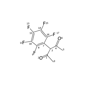 CC(=O)C(C(C)=O)c1c(F)c(F)c(F)c(F)c1F